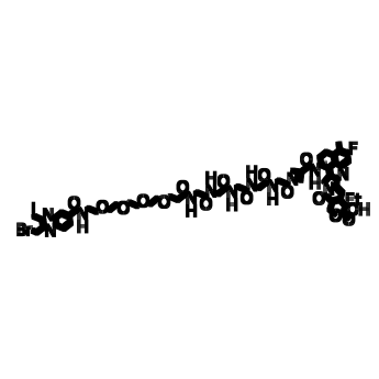 CCC1(O)C(=O)OCc2c1cc1n(c2=O)Cc2c-1nc1cc(F)c(C)c3c1c2[C@H](NC(=O)C1CN(C(=O)CNC(=O)CNC(=O)CNC(=O)CNC(=O)CNC(=O)CCOCCOCCOCCOCCNC(=O)c2ccc4nc(CBr)c(CI)nc4c2)C1)CC3